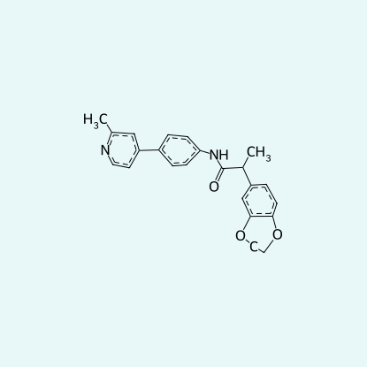 Cc1cc(-c2ccc(NC(=O)C(C)c3ccc4c(c3)OCCO4)cc2)ccn1